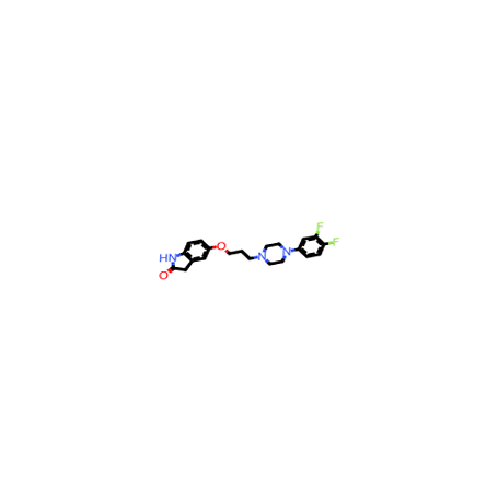 O=C1Cc2cc(OCCCN3CCN(c4ccc(F)c(F)c4)CC3)ccc2N1